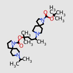 CC(C)N1CCC2(CCCN2C(=O)OC(C)(C)CCC(C)N2CCC3(CCN(C(=O)OC(C)(C)C)C3)CC2)CC1